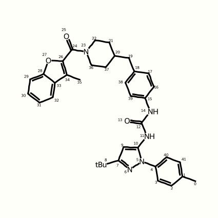 Cc1ccc(-n2nc(C(C)(C)C)cc2NC(=O)Nc2ccc(CC3CCN(C(=O)c4oc5ccccc5c4C)CC3)cc2)cc1